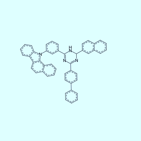 c1ccc(-c2ccc(C3=NC(c4ccc5ccccc5c4)NC(c4cccc(-n5c6ccccc6c6ccc7ccccc7c65)c4)=N3)cc2)cc1